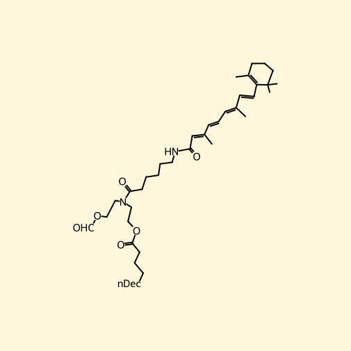 CCCCCCCCCCCCCC(=O)OCCN(CCOC=O)C(=O)CCCCCNC(=O)/C=C(C)/C=C/C=C(C)/C=C/C1=C(C)CCCC1(C)C